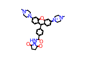 CN1CCN(c2ccc3c(-c4ccc(C(=O)NN5C(=O)CCC5=O)cc4)c4ccc(=[N+]5CCN(C)CC5)cc-4oc3c2)CC1